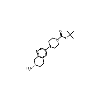 CC(C)(C)OC(=O)N1CCN(c2cnc3c(c2)CC[C@H](N)C3)CC1